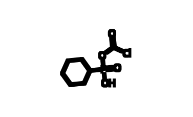 O=C(Cl)OP(=O)(O)C1CCCCC1